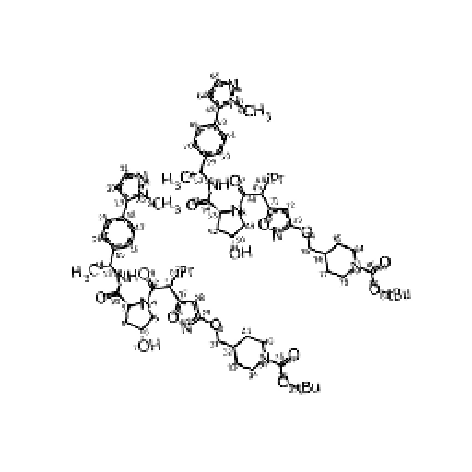 CC(C)C(C(=O)N1C[C@H](O)C[C@H]1C(=O)N[C@@H](C)c1ccc(-c2ccnn2C)cc1)c1cc(OCC2CCN(C(=O)OC(C)(C)C)CC2)no1.CC(C)C(C(=O)N1C[C@H](O)C[C@H]1C(=O)N[C@@H](C)c1ccc(-c2ccnn2C)cc1)c1cc(OCC2CCN(C(=O)OC(C)(C)C)CC2)no1